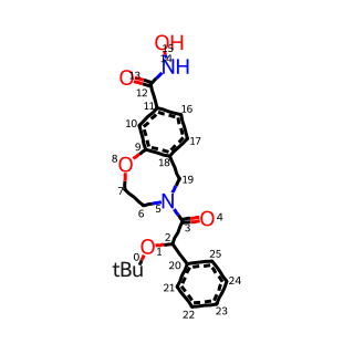 CC(C)(C)OC(C(=O)N1CCOc2cc(C(=O)NO)ccc2C1)c1ccccc1